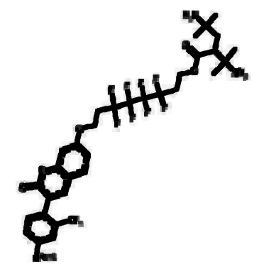 CCCCCc1ccc(-c2cc3ccc(OCCC(F)(F)C(F)(F)C(F)(F)C(F)(F)CCOC(=O)C(CC(C)(C)N)C(C)(C)N)cc3oc2=O)c(C(F)(F)F)c1